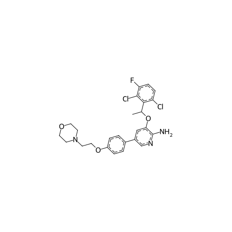 CC(Oc1cc(-c2ccc(OCCN3CCOCC3)cc2)cnc1N)c1c(Cl)ccc(F)c1Cl